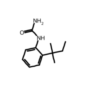 CCC(C)(C)c1ccccc1NC(N)=O